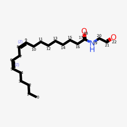 CCCCC/C=C\C/C=C\CCCCCCCC(=O)NCC=O